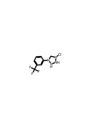 FC(F)(F)c1cc[c]c(N2CN(Cl)NN2)c1